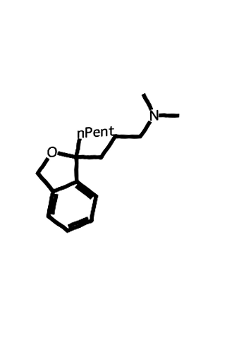 CCCCCC1(CCCN(C)C)OCc2ccccc21